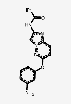 CC(C)C(=O)Nc1cn2nc(Oc3cccc(N)c3)ccc2n1